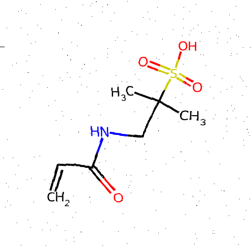 C=CC(=O)NCC(C)(C)S(=O)(=O)O